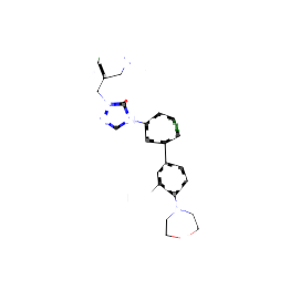 Cc1cc(-c2cccc(-n3cnn(C/C(=C/F)CN)c3=O)c2)ccc1N1CCOCC1.Cl